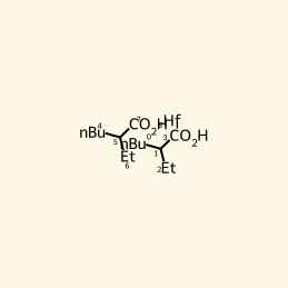 CCCCC(CC)C(=O)O.CCCCC(CC)C(=O)O.[Hf]